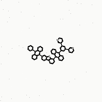 c1ccc(-c2c3ccccc3c(-c3ccc4c(c3)sc3c(-c5c6ccccc6c(-c6cc(-c7cccnc7)cc(-c7cccnc7)c6)c6ccccc56)cccc34)c3ccccc23)cc1